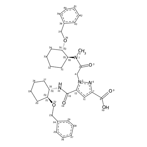 CN(C(=O)Cn1nc(C(=O)O)cc1C(=O)N[C@H]1CCCC[C@@H]1OCc1ccccc1)[C@H]1CCCC[C@@H]1OCc1ccccc1